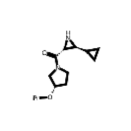 CC(C)O[C@H]1CCN(C(=O)[C@@H]2N[C@H]2C2CC2)C1